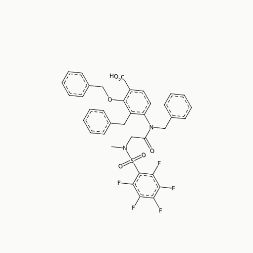 CN(CC(=O)N(Cc1ccccc1)c1ccc(C(=O)O)c(OCc2ccccc2)c1Cc1ccccc1)S(=O)(=O)c1c(F)c(F)c(F)c(F)c1F